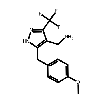 COc1ccc(Cc2[nH]nc(C(F)(F)F)c2CN)cc1